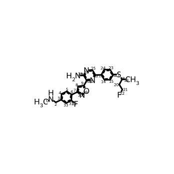 CNCc1ccc(-c2cc(-c3nc(-c4ccc(SC(C)CCF)cc4)cnc3N)on2)c(F)c1